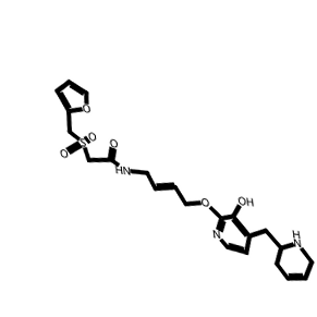 O=C(CS(=O)(=O)Cc1ccco1)NCC=CCOc1nccc(CC2CC=CCN2)c1O